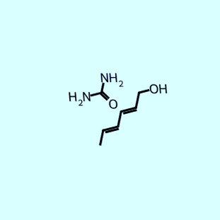 C/C=C/C=C/CO.NC(N)=O